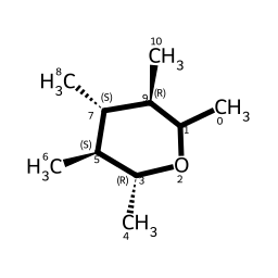 CC1O[C@H](C)[C@@H](C)[C@H](C)[C@H]1C